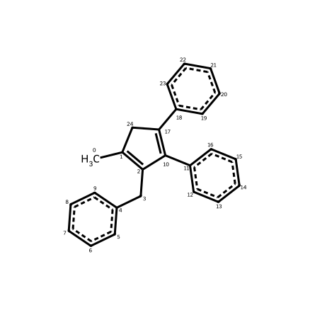 CC1=C(Cc2ccccc2)C(c2ccccc2)=C(c2ccccc2)C1